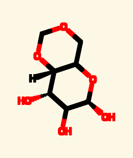 OC1[C@H](O)OC2COCO[C@H]2[C@H]1O